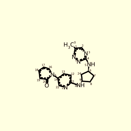 Cc1cnc(N[C@H]2CC[C@H](Nc3ccc(-n4ccccc4=O)cn3)C2)nn1